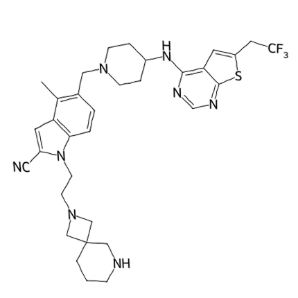 Cc1c(CN2CCC(Nc3ncnc4sc(CC(F)(F)F)cc34)CC2)ccc2c1cc(C#N)n2CCN1CC2(CCCNC2)C1